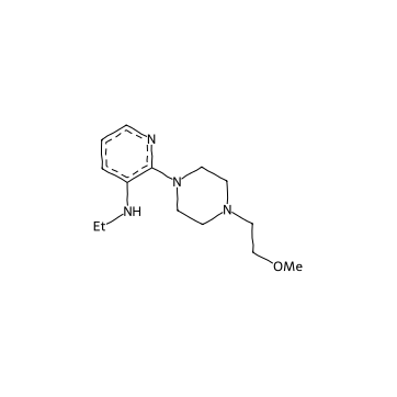 CCNc1cccnc1N1CCN(CCOC)CC1